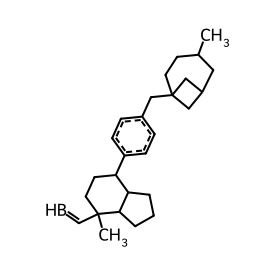 B=CC1(C)CCC(c2ccc(CC34CCC(C)CC(C3)C4)cc2)C2CCCC21